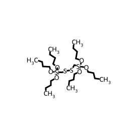 CCCCO[Si](CSSC[Si](OCCCC)(OCCCC)OCCCC)(OCCCC)OCCCC